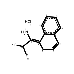 Cl.NC(=C1CC=Cc2ccccc21)C(F)F